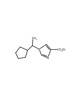 CCOC(=O)c1cn(C(C)C2CCCC2)cn1